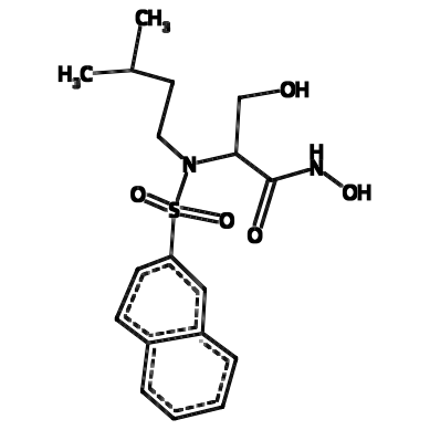 CC(C)CCN(C(CO)C(=O)NO)S(=O)(=O)c1ccc2ccccc2c1